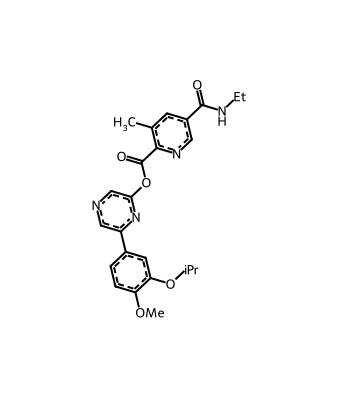 CCNC(=O)c1cnc(C(=O)Oc2cncc(-c3ccc(OC)c(OC(C)C)c3)n2)c(C)c1